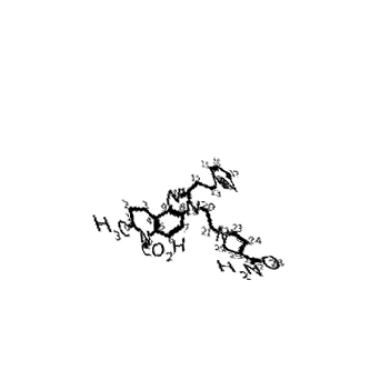 CC1CCc2c(ccc3c2nc(CCn2cccn2)n3CCN2CCC(C(N)=O)C2)N1C(=O)O